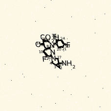 NC12CC1CN(c1nc3c(cc1F)c(=O)c(C(=O)O)cn3-c1ccc(F)cc1F)C2